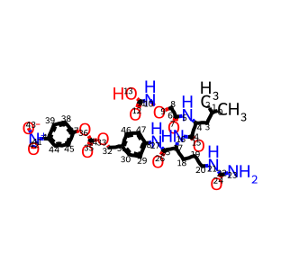 CC(C)CC(NC(=O)CONC(=O)O)C(=O)NC(CCCNC(N)=O)C(=O)Nc1ccc(COC(=O)Oc2ccc([N+](=O)[O-])cc2)cc1